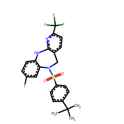 CC(C)(C)c1ccc(S(=O)(=O)N2Cc3ccc(C(F)(F)F)nc3Nc3ccc(I)cc32)cc1